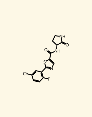 O=C(N[C@H]1CCNC1=O)c1cnc(-c2cc(Cl)ccc2F)s1